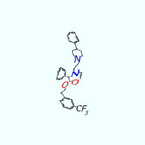 FC(F)(F)c1cccc(CCOC2OCCN(CCN3CCC(c4ccccc4)CC3)C2c2ccccc2)c1